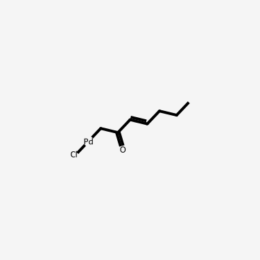 CCCC=CC(=O)[CH2][Pd][Cl]